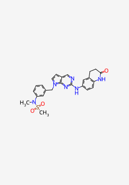 CN(c1cccc(Cn2ccc3cnc(Nc4ccc5c(c4)CCC(=O)N5)nc32)c1)S(C)(=O)=O